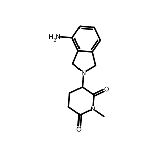 CN1C(=O)CCC(N2Cc3cccc(N)c3C2)C1=O